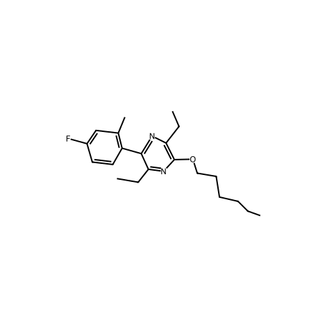 CCCCCCOc1nc(CC)c(-c2ccc(F)cc2C)nc1CC